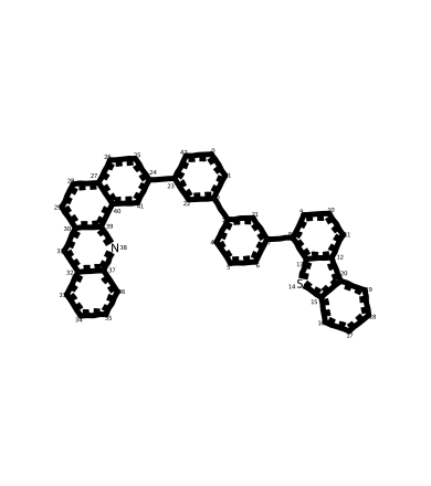 c1cc(-c2cccc(-c3cccc4c3sc3ccccc34)c2)cc(-c2ccc3ccc4cc5ccccc5nc4c3c2)c1